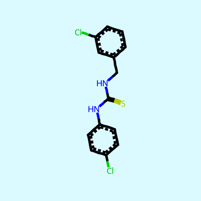 S=C(NCc1cccc(Cl)c1)Nc1ccc(Cl)cc1